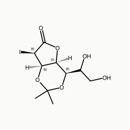 CC1(C)O[C@@H]2[C@@H](OC(=O)[C@@H]2I)[C@@H](C(O)CO)O1